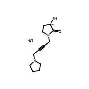 Cl.O=C1[C@H](S)CCN1CC#CCN1CCCC1